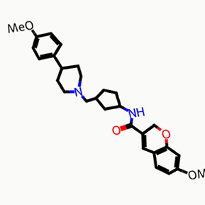 COc1ccc(C2CCN(CC3CCC(NC(=O)C4=Cc5ccc(OC)cc5OC4)C3)CC2)cc1